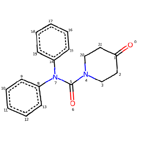 O=C1CCN(C(=O)N(c2ccccc2)c2ccccc2)CC1